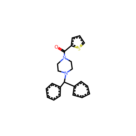 O=C(c1cccs1)N1CCN(C(c2ccccc2)c2ccccc2)CC1